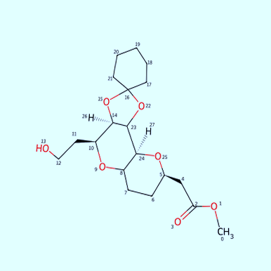 COC(=O)C[C@H]1CCC2O[C@@H](CCO)[C@H]3OC4(CCCCC4)OC3[C@H]2O1